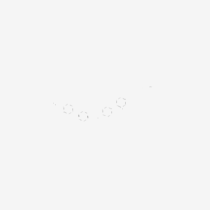 CCCCCC1CCC(c2ccc(-c3cc(F)c(C(F)(F)Oc4ccc(-c5ccc(C#N)c(F)c5)c(F)c4)c(F)c3)nc2)CC1